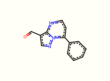 O=Cc1cnn2c(-c3ccccc3)ccnc12